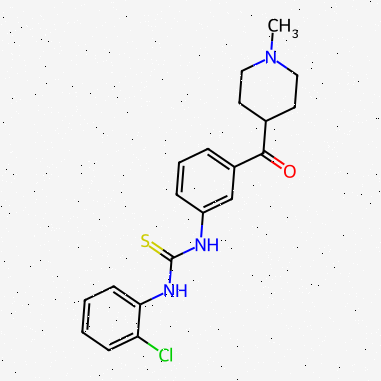 CN1CCC(C(=O)c2cccc(NC(=S)Nc3ccccc3Cl)c2)CC1